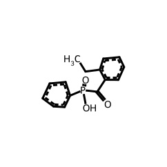 CCc1ccccc1C(=O)P(=O)(O)c1ccccc1